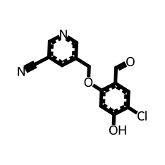 N#Cc1cncc(COc2cc(O)c(Cl)cc2C=O)c1